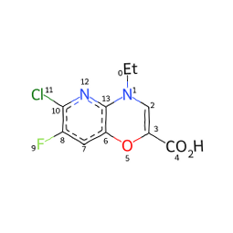 CCN1C=C(C(=O)O)Oc2cc(F)c(Cl)nc21